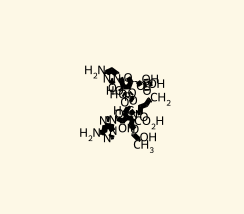 C=CCCC(=O)N(C)[C@](COCC(C)O)(C(=O)O)C1C(COP(=O)(O)O[C@H]2[C@@H](O)[C@H](n3ccc(N)nc3=O)O[C@@H]2COP(=O)(O)O)OC(n2cnc3c(N)ncnc32)C1O